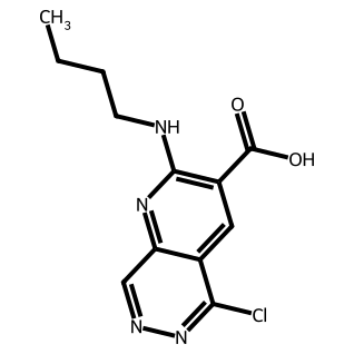 CCCCNc1nc2cnnc(Cl)c2cc1C(=O)O